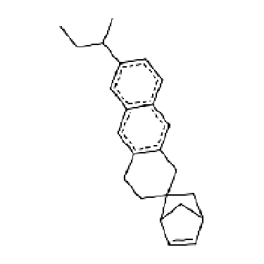 CCC(C)c1ccc2cc3c(cc2c1)CCC1(C3)CC2C=CC1C2